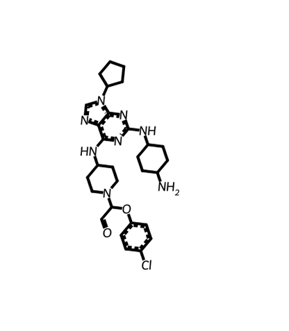 NC1CCC(Nc2nc(NC3CCN(C(C=O)Oc4ccc(Cl)cc4)CC3)c3ncn(C4CCCC4)c3n2)CC1